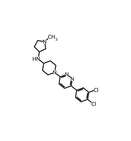 CN1CCC(NC2CCN(c3ccc(-c4ccc(Cl)c(Cl)c4)nn3)CC2)C1